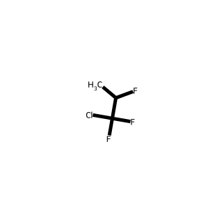 C[C](F)C(F)(F)Cl